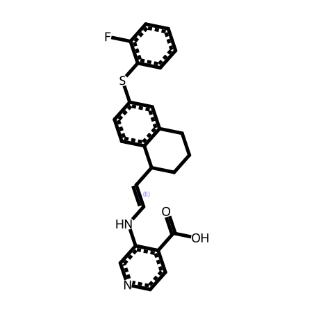 O=C(O)c1ccncc1N/C=C/C1CCCc2cc(Sc3ccccc3F)ccc21